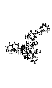 CC(C)[C@H](NC(=O)c1ccc2ccccc2n1)C(=O)NC(C(O)CNC(=O)C1CC(SCc2cccnc2)CCN1)C(c1ccccc1)C(C)(C)C